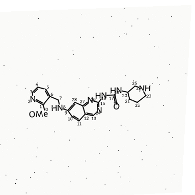 COc1ncccc1CNc1ccc2cnc(NC(=O)NC3CCCNC3)nc2c1